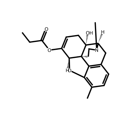 CCC(=O)OC1=CC[C@@]2(O)[C@H]3Cc4ccc(C)c5c4[C@@]2(CCN3C)[C@H]1O5